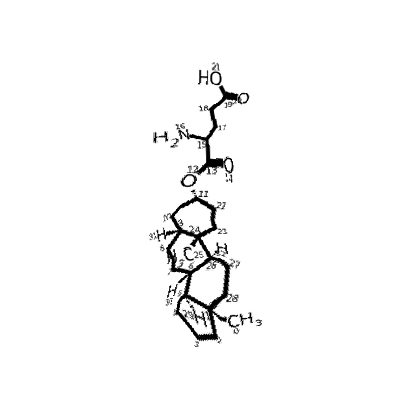 C[C@@]12CCC[C@H]1[C@@H]1CC[C@@H]3C[C@H](OC(=O)C(N)CCC(=O)O)CC[C@]3(C)[C@H]1CC2